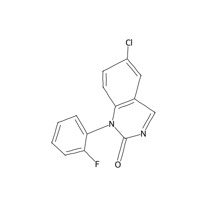 O=c1ncc2cc(Cl)ccc2n1-c1ccccc1F